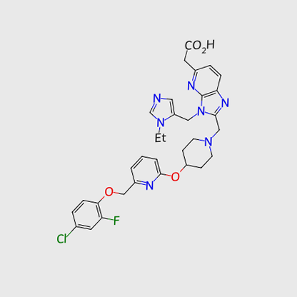 CCn1cncc1Cn1c(CN2CCC(Oc3cccc(COc4ccc(Cl)cc4F)n3)CC2)nc2ccc(CC(=O)O)nc21